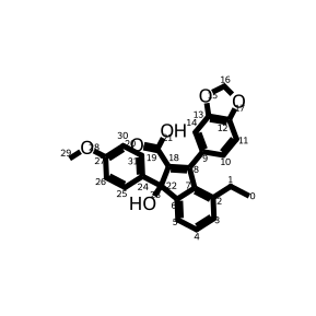 CCc1cccc2c1C(c1ccc3c(c1)OCO3)=C(C(=O)O)C2(O)c1ccc(OC)cc1